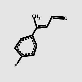 C/C(=C\C=O)c1ccc(F)cc1